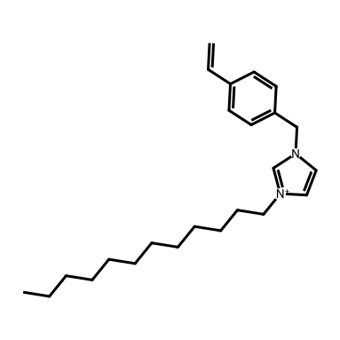 C=Cc1ccc(Cn2cc[n+](CCCCCCCCCCCC)c2)cc1